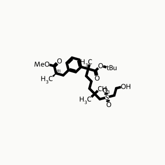 COC(=O)[C@H](C)Cc1cccc(C(C)(CCCC(C)(C)CS(=O)(=O)CCO)C(=O)OC(C)(C)C)c1